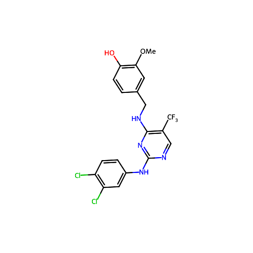 COc1cc(CNc2nc(Nc3ccc(Cl)c(Cl)c3)ncc2C(F)(F)F)ccc1O